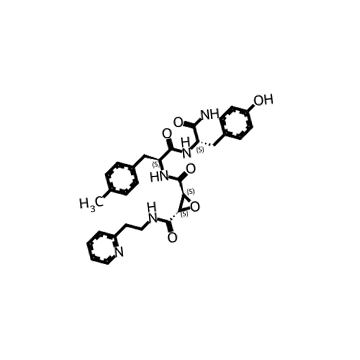 Cc1ccc(C[C@H](NC(=O)[C@H]2O[C@@H]2C(=O)NCCc2ccccn2)C(=O)N[C@@H](Cc2ccc(O)cc2)C(N)=O)cc1